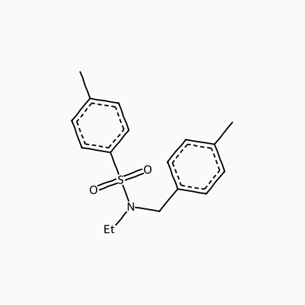 CCN(Cc1ccc(C)cc1)S(=O)(=O)c1ccc(C)cc1